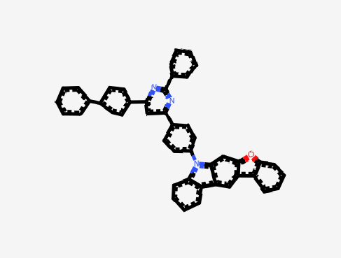 c1ccc(-c2ccc(-c3cc(-c4ccc(-n5c6ccccc6c6cc7c(cc65)oc5ccccc57)cc4)nc(-c4ccccc4)n3)cc2)cc1